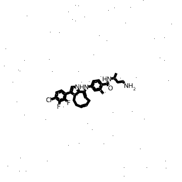 Cc1cc(N/C2=C\C/C=C\CCC3C(c4ccc(Cl)c(F)c4F)=CN=C23)ccc1C(=O)NC(C)CCN